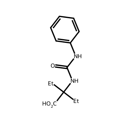 CCC(CC)(NC(=O)Nc1ccccc1)C(=O)O